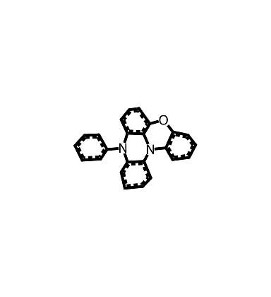 c1ccc(N2c3ccccc3N3c4ccccc4Oc4cccc2c43)cc1